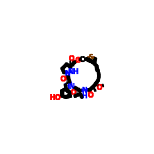 CO[C@@H]1CCC=Cc2csc(c2)COC(=O)[C@@H]2CCCN(N2)C(=O)[C@H](Cc2cccc(O)c2)NC(=O)[C@H](C(C)C)NC(=O)[C@@H]1C